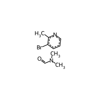 CN(C)C=O.Cc1ncccc1Br